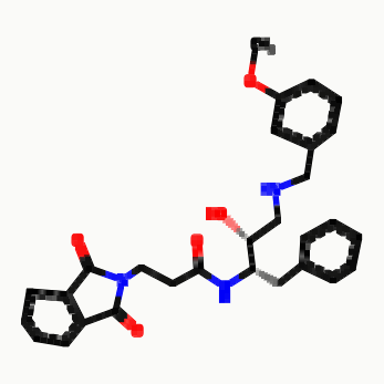 COc1cccc(CNC[C@@H](O)[C@H](Cc2ccccc2)NC(=O)CCN2C(=O)c3ccccc3C2=O)c1